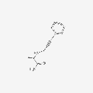 C[C@@H](NCC#Cc1ccccc1)C(N)=O